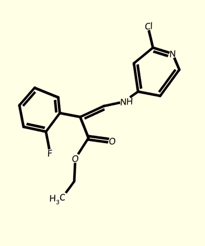 CCOC(=O)/C(=C\Nc1ccnc(Cl)c1)c1ccccc1F